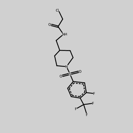 O=C(CCl)NCC1CCN(S(=O)(=O)c2ccc(C(F)(F)F)c(F)c2)CC1